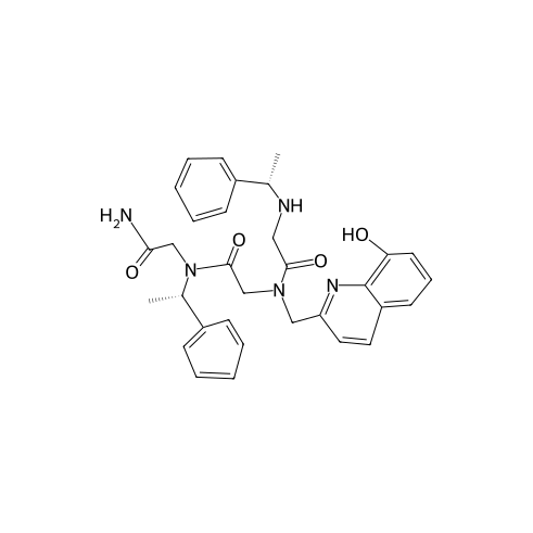 C[C@H](NCC(=O)N(CC(=O)N(CC(N)=O)[C@@H](C)c1ccccc1)Cc1ccc2cccc(O)c2n1)c1ccccc1